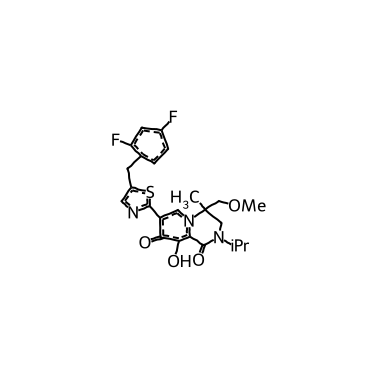 COCC1(C)CN(C(C)C)C(=O)c2c(O)c(=O)c(-c3ncc(Cc4ccc(F)cc4F)s3)cn21